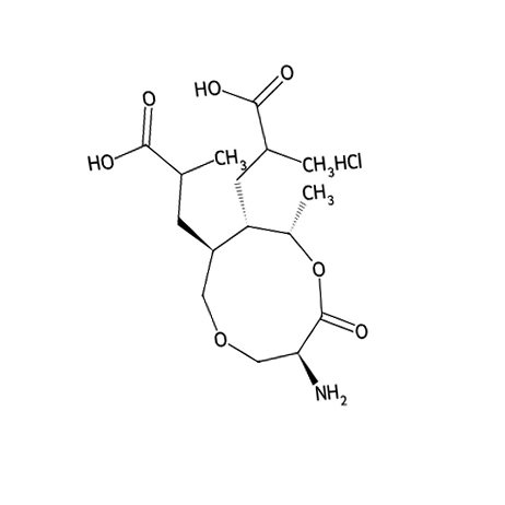 CC(C[C@@H]1COC[C@H](N)C(=O)O[C@@H](C)[C@H]1CC(C)C(=O)O)C(=O)O.Cl